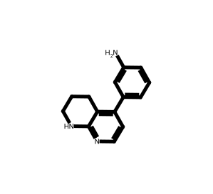 Nc1cccc(-c2ccnc3c2CCCN3)c1